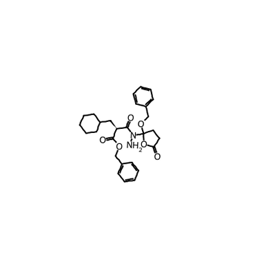 NN(C(=O)[C@H](CC1CCCCC1)C(=O)OCc1ccccc1)C1(OCc2ccccc2)CCC(=O)O1